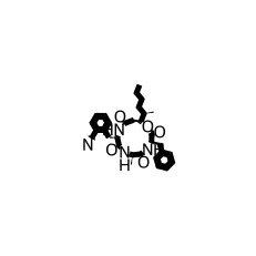 CCCC[C@H](C)[C@@H]1CC(=O)N[C@@H](Cc2ccccc2C#N)C(=O)N[C@@H](C)C(=O)N[C@H](Cc2ccccc2)C(=O)O1